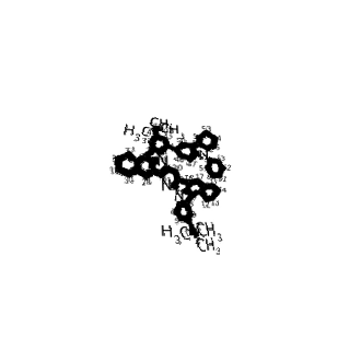 CC(C)(C)c1ccc2c(c1)c1c3ccccc3cc3c4cc5c(nc4n2c31)c1cc2ccccc2c2c3cc(C(C)(C)C)cc(-c4ccc6c(c4)c4ccccc4n6-c4ccccc4)c3n5c12